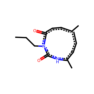 CCCn1c(=O)ccc(C)ccc(C)[nH]c1=O